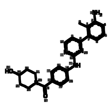 Cc1c(N)cccc1-c1ccnc(Nc2ccc(C(=O)N3CCC(O)CC3)cc2)n1